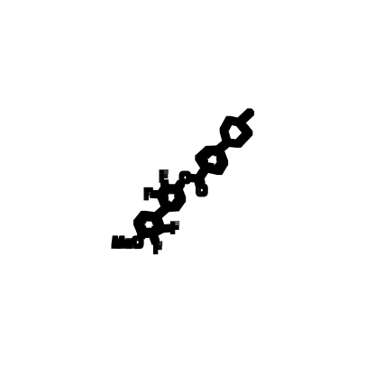 COc1ccc(-c2ccc(OC(=O)c3ccc(C4CCC(C)CC4)cc3)c(F)c2F)c(F)c1F